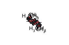 CC(C)(C)c1ccc(N(c2ccc3c(c2)C2(c4ccccc4-c4ccccc42)C2c4ccc(N(c5ccc(C(C)(C)C)cc5)c5cccc6sc7ccccc7c56)cc4C4(c5ccccc5-c5ccccc54)C32)c2cccc3sc4ccccc4c23)cc1